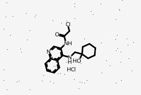 Cl.O=C(CCl)Nc1cnc2ccccc2c1NCC1(O)CCCCC1